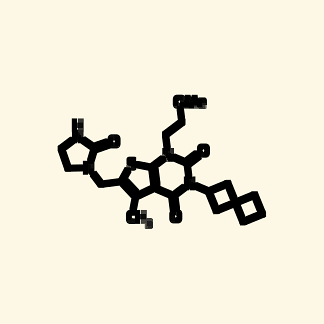 COCCn1c(=O)n(C2CC3(CCC3)C2)c(=O)c2c(C)c(CN3CCNC3=O)sc21